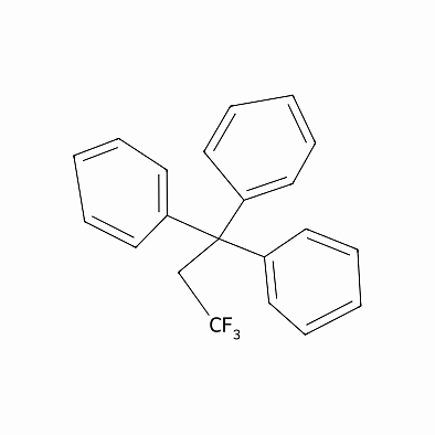 FC(F)(F)CC(c1ccccc1)(c1ccccc1)c1ccccc1